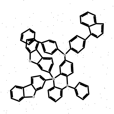 c1ccc(-c2ccc(N(c3ccc(-c4cccc5ccccc45)cc3)c3ccc4c(c3)[Si](c3ccc5c(c3)oc3ccccc35)(c3ccc5c(c3)oc3ccccc35)c3ccccc3N4c3ccccc3)cc2)cc1